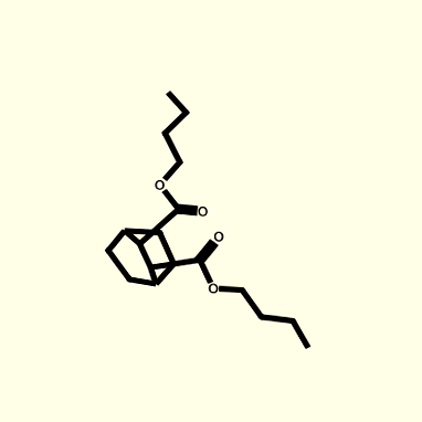 CCCCOC(=O)C1C2CCC(CC2)C1C(=O)OCCCC